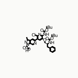 Cc1nn([SH](=O)=O)c2cnc(-c3cc(OC[C@H](Cc4ccccc4)NC(=O)OC(C)(C)C)c(NC(=O)OC(C)(C)C)nc3Cl)cc12